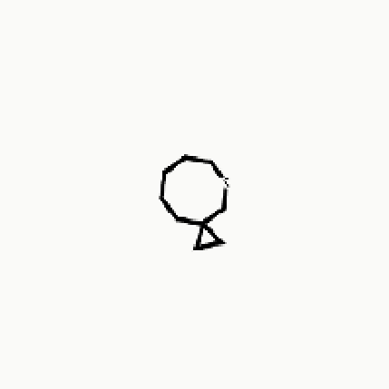 C1CCSCC2(CC1)CC2